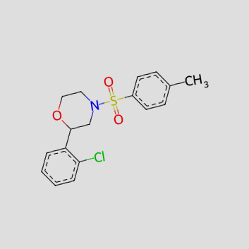 Cc1ccc(S(=O)(=O)N2CCOC(c3ccccc3Cl)C2)cc1